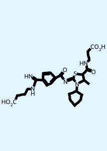 CC1C(C(=O)NCCC(=O)O)SC(=NC(=O)c2ccc(C(=N)NCCCC(=O)O)cc2)N1C1CCCCC1